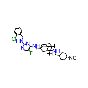 [C-]#[N+][C@H]1CC[C@@H](CN[C@@H]2[C@@H]3CC4C[C@H]2C[C@@](CNc2nc(NCc5ccccc5Cl)ncc2F)(C4)C3)CC1